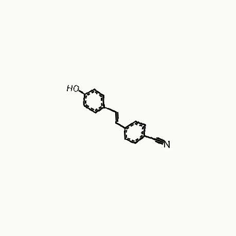 N#Cc1ccc(/C=C/c2ccc(O)cc2)cc1